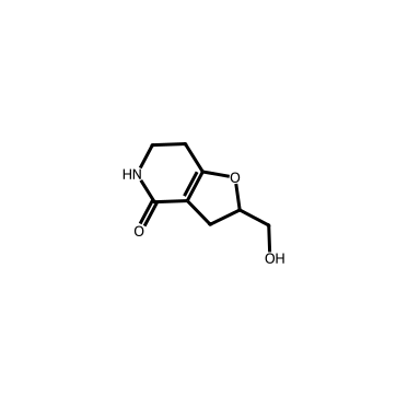 O=C1NCCC2=C1CC(CO)O2